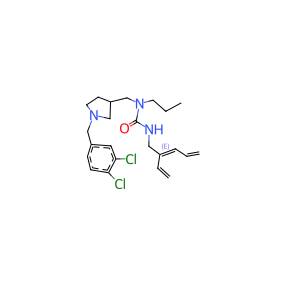 C=C/C=C(\C=C)CNC(=O)N(CCC)CC1CCN(Cc2ccc(Cl)c(Cl)c2)C1